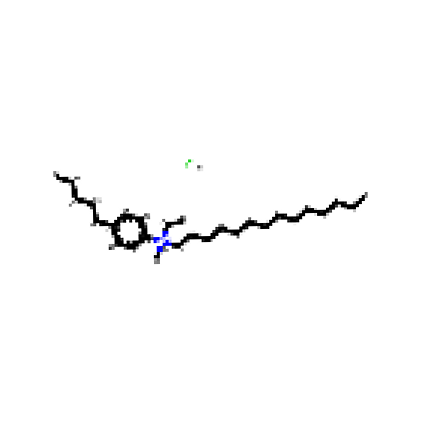 CCCCCCCCCCCCCC[N+](C)(CC)c1ccc(CCCCC)cc1.[Cl-]